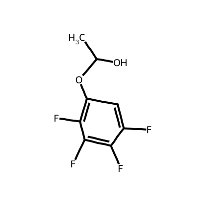 CC(O)Oc1cc(F)c(F)c(F)c1F